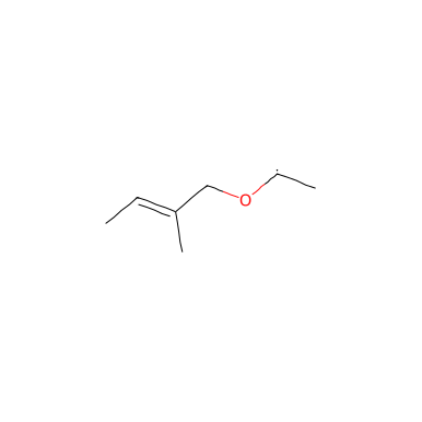 C[CH]OC/C(C)=C/C